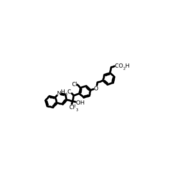 CC(c1ccc(OCc2cccc(CC(=O)O)c2)cc1Cl)C(O)(c1cnc2ccccc2c1)C(F)(F)F